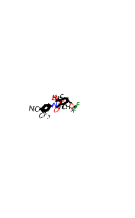 C[C@]12O[C@](C)(C[C@H]1COC(F)F)[C@H]1C(=O)N(c3ccc(C#N)c(C(F)(F)F)c3)C(=O)[C@H]12